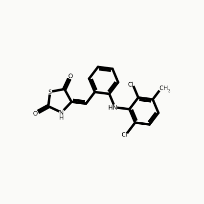 Cc1ccc(Cl)c(Nc2ccccc2C=C2NC(=O)SC2=O)c1Cl